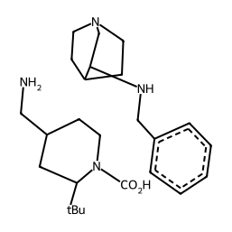 CC(C)(C)C1CC(CN)CCN1C(=O)O.c1ccc(CNC2CN3CCC2CC3)cc1